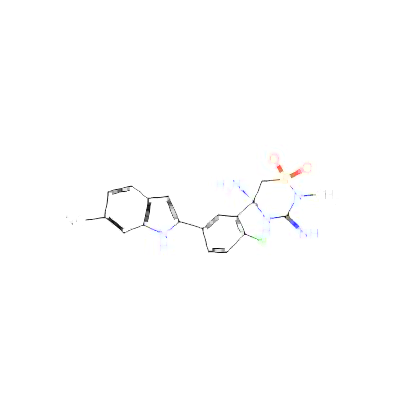 CN1C(=N)N[C@](N)(c2cc(-c3cc4ccc(C#N)cc4[nH]3)ccc2F)CS1(=O)=O